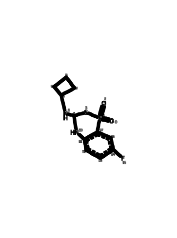 O=S1(=O)SC(NC2CCC2)Nc2ccc(F)cc21